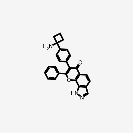 NC1(c2ccc(-c3c(-c4ccccc4)oc4c(ccc5cn[nH]c54)c3=O)cc2)CCC1